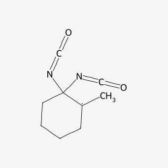 C[C]1CCCCC1(N=C=O)N=C=O